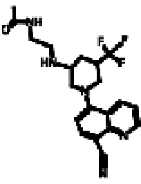 CC(=O)NCCNC1CC(C(F)(F)F)CN(c2ccc(C#N)c3ncccc23)C1